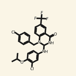 CC(C)Oc1ccc(NC2NC(=O)c3cc(C(F)(F)F)ccc3N2Cc2ccc(Cl)cc2)cc1Cl